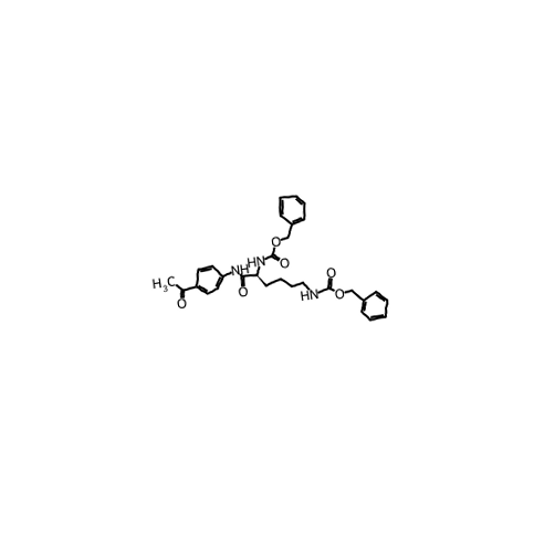 CC(=O)c1ccc(NC(=O)[C@H](CCCCNC(=O)OCc2ccccc2)NC(=O)OCc2ccccc2)cc1